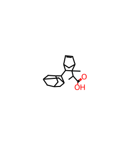 CC(C(=O)O)C1(C)C2C=CC(C2)C1C1C2CC3CC(C2)CC1C3